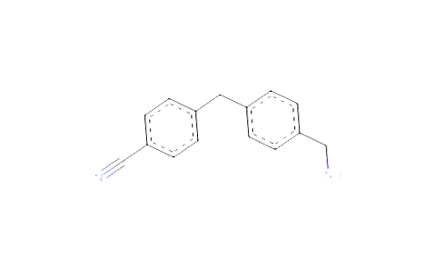 N#Cc1ccc(Cc2[c]cc(CN)cc2)cc1